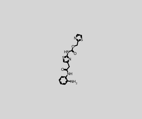 Nc1ccccc1NC(=O)Cc1csc(NC(=O)OCc2nccs2)n1